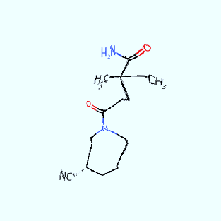 CC(C)(CC(=O)N1CCC[C@H](C#N)C1)C(N)=O